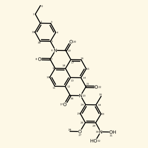 CCc1ccc(N2C(=O)c3ccc4c5c(ccc(c35)C2=O)C(=O)N(c2cc(OC)c(N(O)O)cc2C)C4=O)cc1